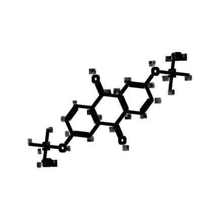 CC(C)(C)[Si](C)(C)Oc1ccc2c(c1)C(=O)c1ccc(O[Si](C)(C)C(C)(C)C)cc1C2=O